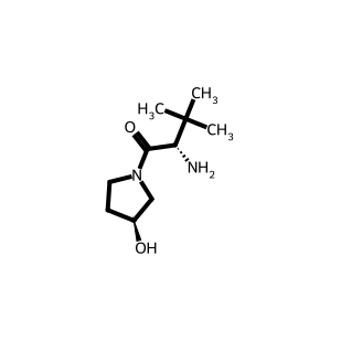 CC(C)(C)[C@H](N)C(=O)N1CC[C@H](O)C1